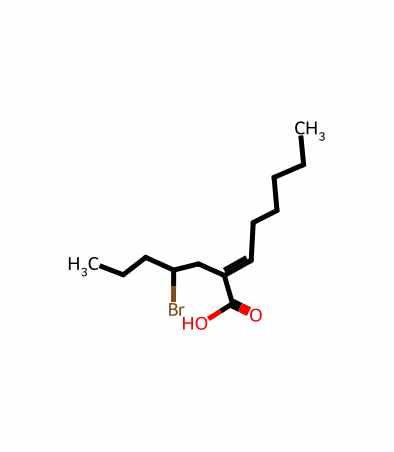 CCCCC/C=C(\CC(Br)CCC)C(=O)O